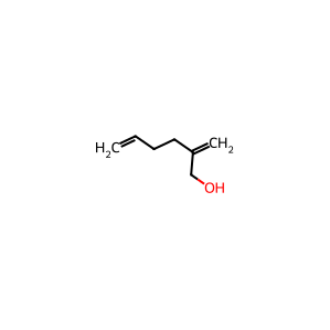 C=CCCC(=C)CO